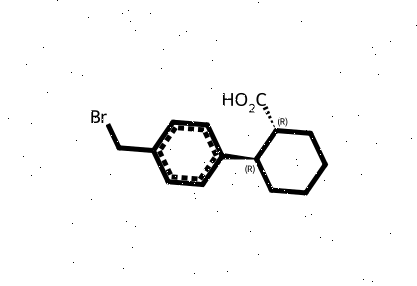 O=C(O)[C@@H]1CCCC[C@H]1c1ccc(CBr)cc1